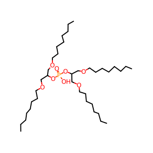 CCCCCCCCOCC(COCCCCCCCC)OP(=O)(O)OC(COCCCCCCCC)COCCCCCCCC